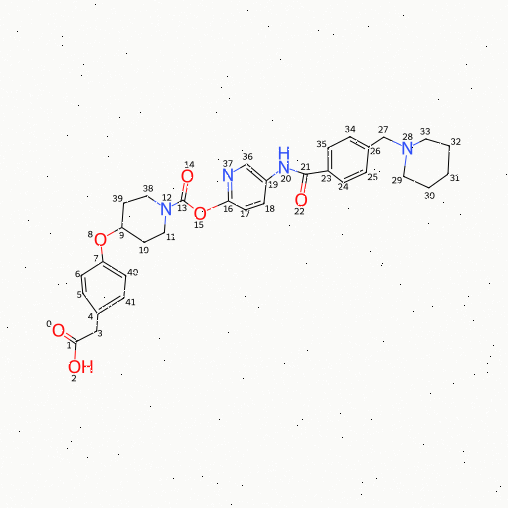 O=C(O)Cc1ccc(OC2CCN(C(=O)Oc3ccc(NC(=O)c4ccc(CN5CCCCC5)cc4)cn3)CC2)cc1